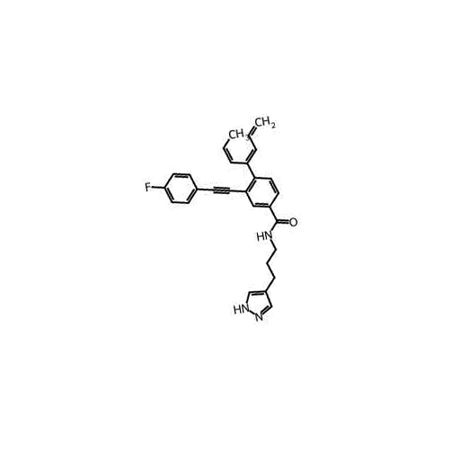 C=C/C=C(\C=C/C)c1ccc(C(=O)NCCCc2cn[nH]c2)cc1C#Cc1ccc(F)cc1